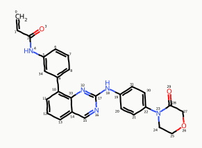 C=CC(=O)Nc1cccc(-c2cccc3cnc(Nc4ccc(N5CCOCC5=O)cc4)nc23)c1